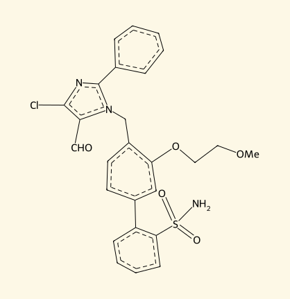 COCCOc1cc(-c2ccccc2S(N)(=O)=O)ccc1Cn1c(-c2ccccc2)nc(Cl)c1C=O